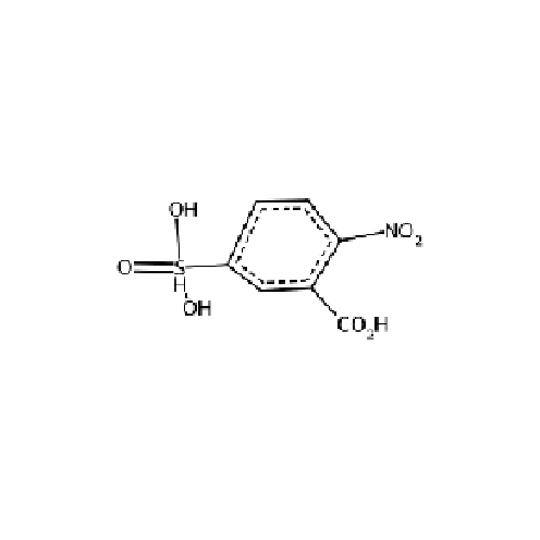 O=C(O)c1cc([SH](=O)(O)O)ccc1[N+](=O)[O-]